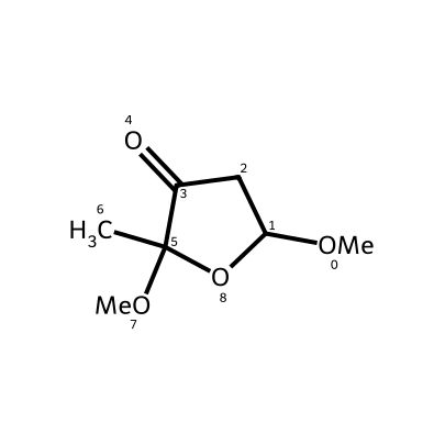 COC1CC(=O)C(C)(OC)O1